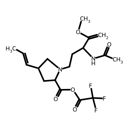 C=C(OC)C(CCN1CC(C=CC)CC1C(=O)OC(=O)C(F)(F)F)NC(C)=O